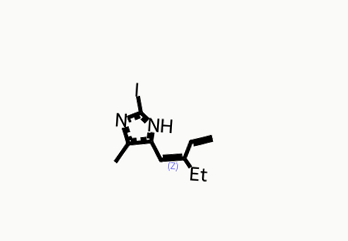 C=C/C(=C\c1[nH]c(I)nc1C)CC